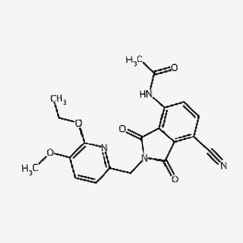 CCOc1nc(CN2C(=O)c3c(C#N)ccc(NC(C)=O)c3C2=O)ccc1OC